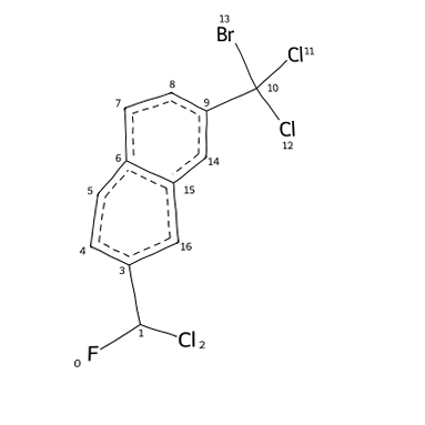 FC(Cl)c1ccc2ccc(C(Cl)(Cl)Br)cc2c1